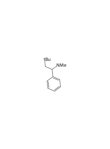 CNC(CC(C)(C)C)c1ccccc1